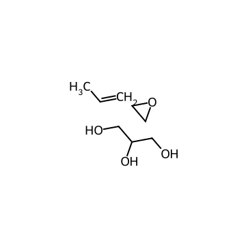 C1CO1.C=CC.OCC(O)CO